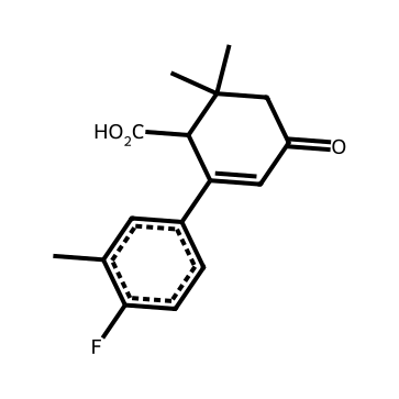 Cc1cc(C2=CC(=O)CC(C)(C)C2C(=O)O)ccc1F